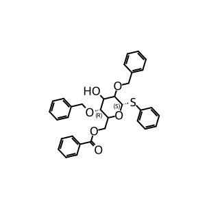 O=C(OCC1O[C@@H](Sc2ccccc2)C(OCc2ccccc2)C(O)[C@H]1OCc1ccccc1)c1ccccc1